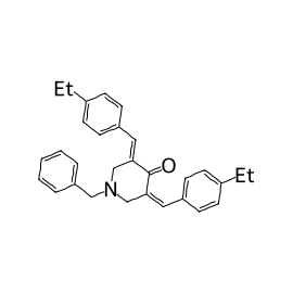 CCc1ccc(/C=C2/CN(Cc3ccccc3)C/C(=C\c3ccc(CC)cc3)C2=O)cc1